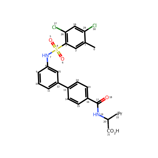 Cc1cc(S(=O)(=O)Nc2cccc(-c3ccc(C(=O)NC(C(=O)O)C(C)C)cc3)c2)c(Cl)cc1Cl